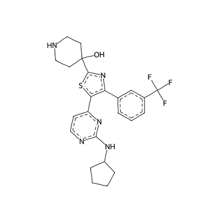 OC1(c2nc(-c3cccc(C(F)(F)F)c3)c(-c3ccnc(NC4CCCC4)n3)s2)CCNCC1